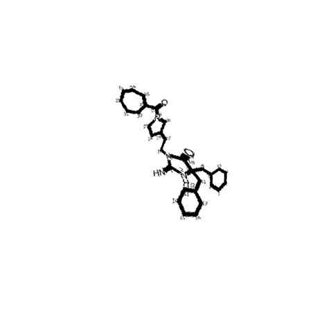 N=C1NC(CC2CCCCC2)(CC2CCCCC2)C(=O)N1CCC1CCN(C(=O)C2CCCCCC2)C1